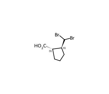 O=C(O)[C@H]1CCC[C@@H]1C(Br)Br